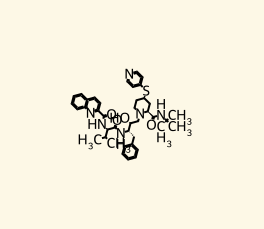 CC(C)[C@H](NC(=O)c1ccc2ccccc2n1)C(=O)N[C@@H](Cc1ccccc1)[C@H](O)CN1CC[C@@H](Sc2ccncc2)C[C@H]1C(=O)NC(C)(C)C